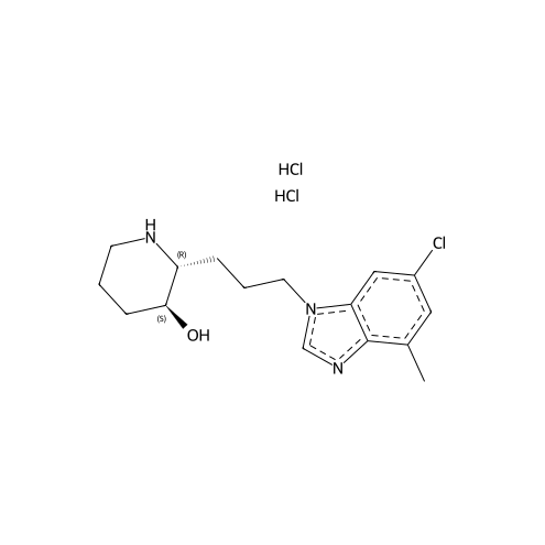 Cc1cc(Cl)cc2c1ncn2CCC[C@H]1NCCC[C@@H]1O.Cl.Cl